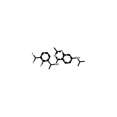 Cc1nc(NC(C)c2cccc(C(F)F)c2F)c2ccc(NC(C)C)cc2n1